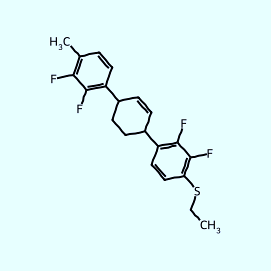 CCSc1ccc(C2C=CC(c3ccc(C)c(F)c3F)CC2)c(F)c1F